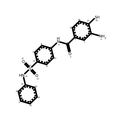 Nc1cc(C(=O)Nc2ccc(S(=O)(=O)Nc3ccccc3)cc2)ccc1S